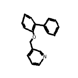 [c]1cccc(-c2ccccc2)c1OCc1cccnc1